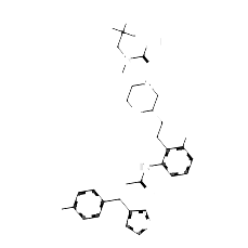 O=C(C[C@@H](c1ccc(F)cc1)c1ccsc1)Nc1cccc(F)c1CC[C@@H]1CN[C@@H](CN(CC(F)(F)F)C(=O)O)CO1